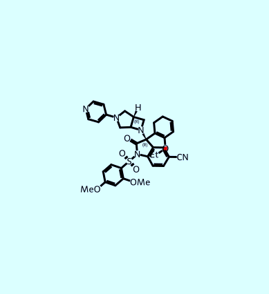 CCOC1=C([C@@]2(N3C[C@H]4CN(c5ccncc5)CC43)C(=O)N(S(=O)(=O)c3ccc(OC)cc3OC)c3ccc(C#N)cc32)CCC=C1